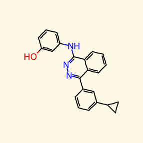 Oc1cccc(Nc2nnc(-c3cccc(C4CC4)c3)c3ccccc23)c1